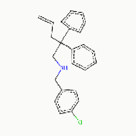 C=CCC(CNCc1ccc(Cl)cc1)(c1ccccc1)c1ccccc1